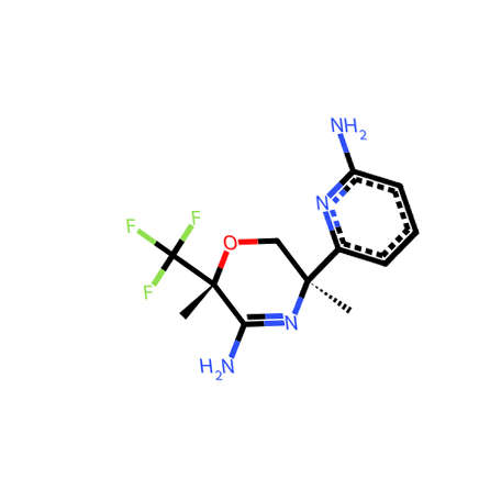 C[C@@]1(c2cccc(N)n2)CO[C@@](C)(C(F)(F)F)C(N)=N1